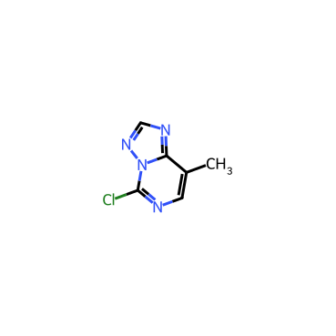 Cc1cnc(Cl)n2ncnc12